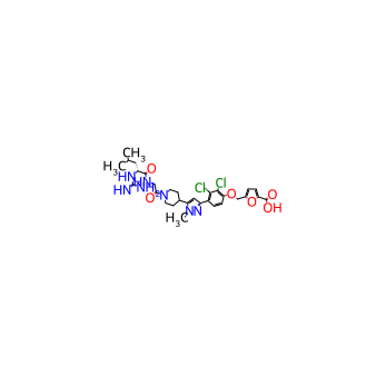 CC(C)C[C@@H](NC(=N)N)C(=O)NCC(=O)N1CCC(c2cc(-c3ccc(OCc4ccc(C(=O)O)o4)c(Cl)c3Cl)nn2C)CC1